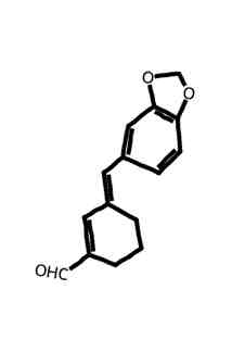 O=CC1=C/C(=C/c2ccc3c(c2)OCO3)CCC1